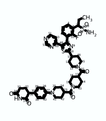 CCC(c1cccc(-c2nc(C3CCN(C(=O)C4CCN(C(=O)C5CCN(c6ccc(C7CCC(=O)NC7=O)cc6)CC5)CC4)CC3)sc2-c2ccncn2)c1F)S(N)(=O)=O